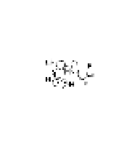 O=C(Nc1cc(F)c(F)c(F)c1)c1ccc(Cl)c(SC2C3CC4C[C@H](C3)C[C@@H]2C4)c1